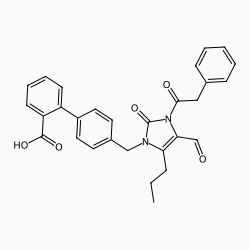 CCCc1c(C=O)n(C(=O)Cc2ccccc2)c(=O)n1Cc1ccc(-c2ccccc2C(=O)O)cc1